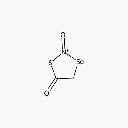 O=C1C[Se][N+](=O)S1